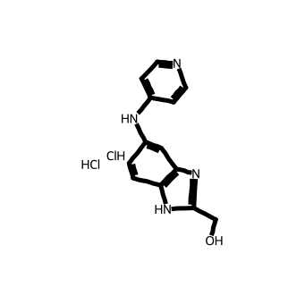 Cl.Cl.OCc1nc2cc(Nc3ccncc3)ccc2[nH]1